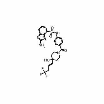 Nc1nc2c(S(=O)(=O)Nc3ccc(C(=O)N4CCC(O)(C=CCC(F)(F)F)CC4)cc3)cccc2s1